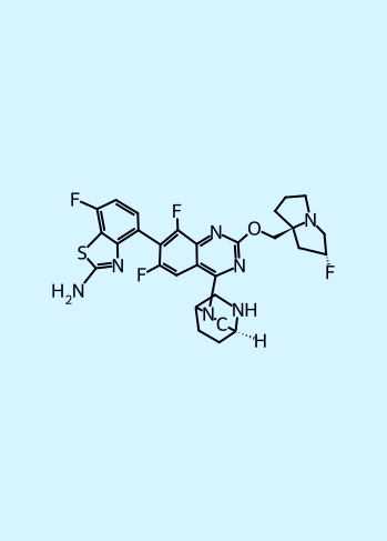 Nc1nc2c(-c3c(F)cc4c(N5C[C@@H]6CCC5CN6)nc(OC[C@@]56CCCN5C[C@H](F)C6)nc4c3F)ccc(F)c2s1